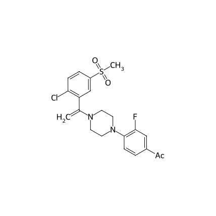 C=C(c1cc(S(C)(=O)=O)ccc1Cl)N1CCN(c2ccc(C(C)=O)cc2F)CC1